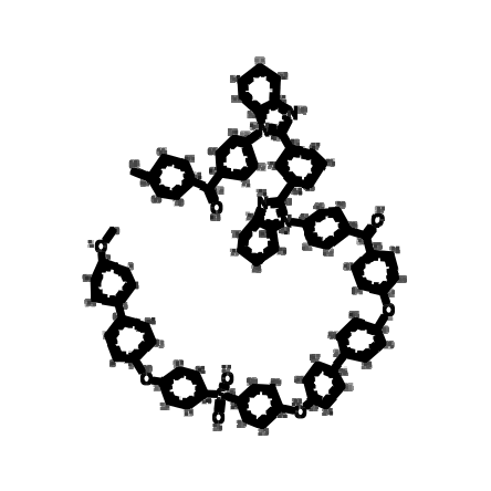 COc1ccc(-c2ccc(Oc3ccc(S(=O)(=O)c4ccc(Oc5ccc(-c6ccc(Oc7ccc(C(=O)c8ccc(-n9c(-c%10cccc(-c%11nc%12ccccc%12n%11-c%11ccc(C(=O)c%12ccc(C)cc%12)cc%11)c%10)nc%10ccccc%109)cc8)cc7)cc6)cc5)cc4)cc3)cc2)cc1